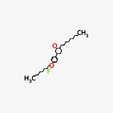 CCCCCCCCCC1CCC(c2ccc(OC[C@H](F)CCCCCC)cc2)CC1=O